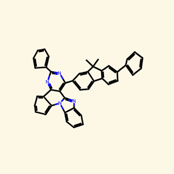 CC1(C)c2cc(-c3ccccc3)ccc2-c2ccc(-c3nc(-c4ccccc4)nc4c5ccccc5n5c6ccccc6nc5c34)cc21